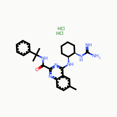 Cc1ccc2nc(C(=O)NC(C)(C)c3ccccc3)nc(N[C@H]3CCCC[C@H]3NC(=N)N)c2c1.Cl.Cl